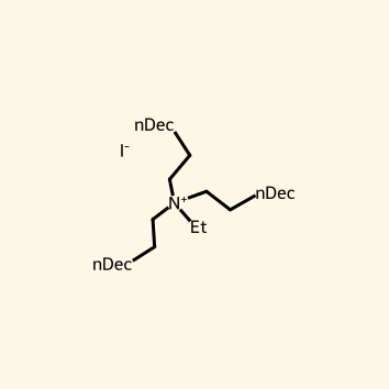 CCCCCCCCCCCC[N+](CC)(CCCCCCCCCCCC)CCCCCCCCCCCC.[I-]